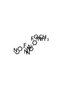 CNC(=O)c1ccc(-c2ccc3nnc(C(F)c4ccc5ncccc5c4)n3n2)cc1F